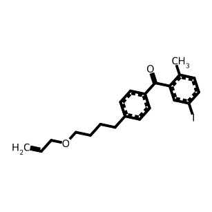 C=CCOCCCCc1ccc(C(=O)c2cc(I)ccc2C)cc1